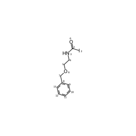 O=C(I)NCCOCc1ccccc1